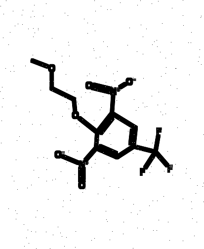 COCCOc1c([N+](=O)[O-])cc(C(F)(F)F)cc1[N+](=O)[O-]